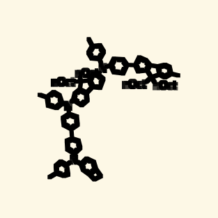 CCCCCCCCC1(CCCCCCCC)c2cc(C)ccc2-c2ccc(-c3ccc(N(c4ccc(C)cc4)c4ccc5c(c4)C(CCCCCCCC)(CCCCCCCC)c4cc(N(c6ccc(C)cc6)c6ccc(-c7ccc(N(c8ccc(C)cc8)c8ccc9c(c8)CC9)cc7)cc6)ccc4-5)cc3)cc21